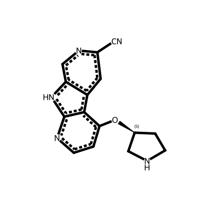 N#Cc1cc2c(cn1)[nH]c1nccc(O[C@H]3CCNC3)c12